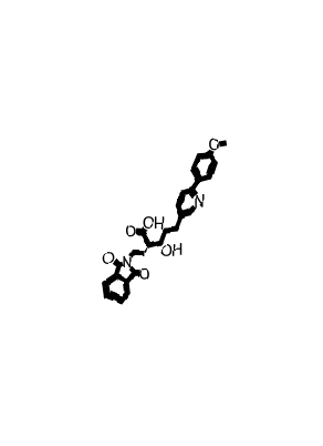 COc1ccc(-c2ccc(CC[C@@H](O)[C@H](CCN3C(=O)c4ccccc4C3=O)C(=O)O)cn2)cc1